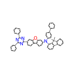 CC1(C)c2ccccc2-c2cccc(N(c3ccc(-c4ccccc4)cc3)c3ccc4c(c3)oc3cc(-c5nc(-c6ccccc6)nc(-c6ccccc6)n5)ccc34)c21